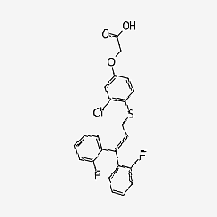 O=C(O)COc1ccc(SCC=C(c2ccccc2F)c2ccccc2F)c(Cl)c1